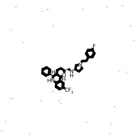 Fc1ccc(CCN2CC[C@H](NC[C@H]3CC[C@@H]4[C@H](O3)c3cc(C(F)(F)F)ccc3N[C@H]4c3ccccc3)C2)cc1